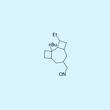 CCCCC12CCC1CC(CN=O)CC1CC(CC)C12